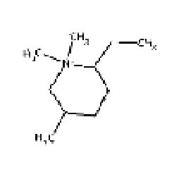 CCC1CCC(C)C[N+]1(C)C